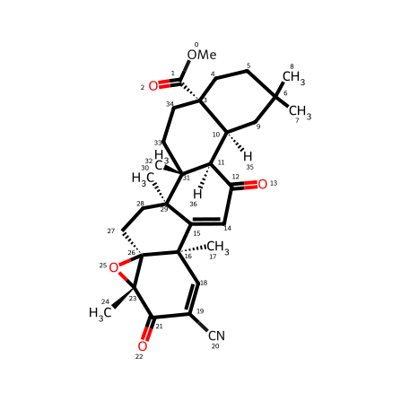 COC(=O)[C@]12CCC(C)(C)C[C@H]1[C@H]1C(=O)C=C3[C@@]4(C)C=C(C#N)C(=O)[C@]5(C)O[C@]54CC[C@@]3(C)[C@]1(C)CC2